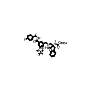 COC(=O)C(CNCc1cc(C(=O)N[C@H](C)c2ccc(F)cc2)cc(N(C)S(C)(=O)=O)c1)(Cc1ccccc1)NC(=O)OC(C)(C)C